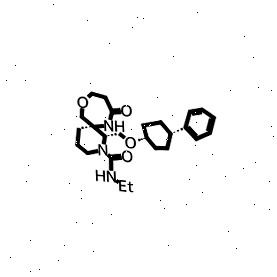 CCNC(=O)N1CCC[C@@]2(COCCC(=O)N2)[C@@H]1CO[C@H]1CC[C@@H](c2ccccc2)CC1